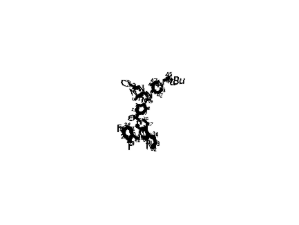 Cc1nc(Cl)nc2c1N(c1ccc(C(=O)N3CCc4c(n(Cc5ccc(F)cc5F)c5ncccc45)C3)cc1)CN2C1CCN(CC(C)(C)C)CC1